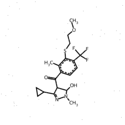 COCCSc1c(C(F)(F)F)ccc(C(=O)C2C(C3CC3)=NN(C)C2O)c1C